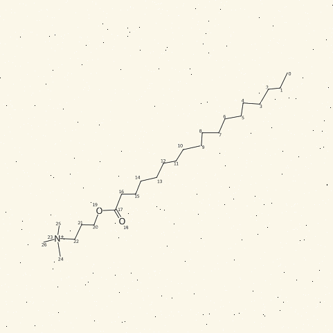 CCCCCCCCCCCCCCCCCC(=O)OCCC[N+](C)(C)C